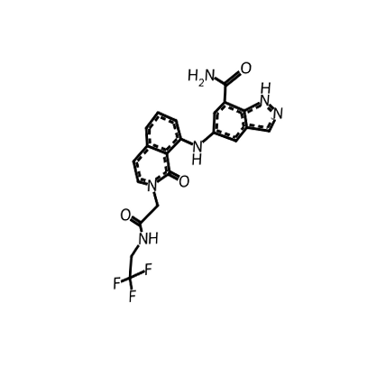 NC(=O)c1cc(Nc2cccc3ccn(CC(=O)NCC(F)(F)F)c(=O)c23)cc2cn[nH]c12